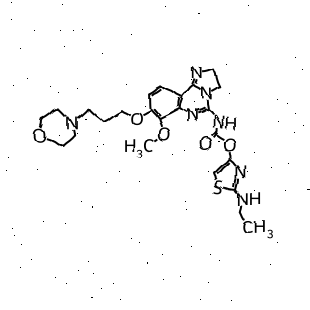 CCNc1nc(OC(=O)NC2=Nc3c(ccc(OCCCN4CCOCC4)c3OC)C3=NCCN23)cs1